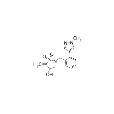 C=C1C(O)CN(Cc2ccccc2-c2cnn(C)c2)S1(=O)=O